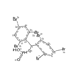 O=[PH](O)OC(c1c(Br)cc(Br)cc1Br)c1c(Br)cc(Br)cc1Br